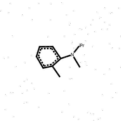 Cc1ccccc1N(C)C(C)C